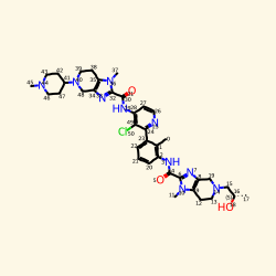 Cc1c(NC(=O)c2nc3c(n2C)CCN(C[C@H](C)O)C3)cccc1-c1nccc(NC(=O)c2nc3c(n2C)CCN(C2CCN(C)CC2)C3)c1Cl